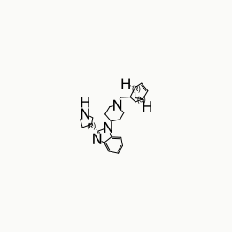 C1=C[C@H]2C[C@H]1CC2CN1CCC(n2c([C@@H]3CCNC3)nc3ccccc32)CC1